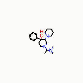 CC(N(C)C)N1CCC(O)(c2ccccc2)C(N2CCCCC2)C1